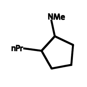 CCCC1CCCC1NC